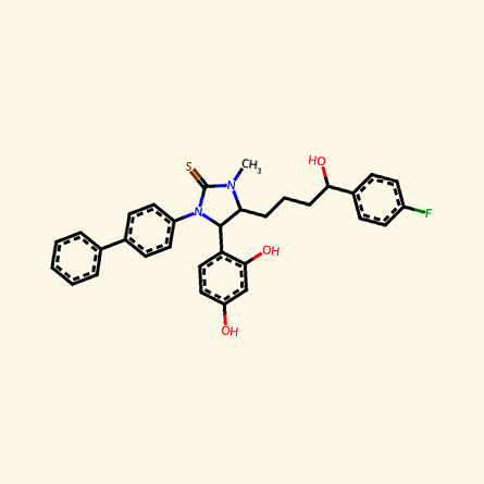 CN1C(=S)N(c2ccc(-c3ccccc3)cc2)C(c2ccc(O)cc2O)C1CCCC(O)c1ccc(F)cc1